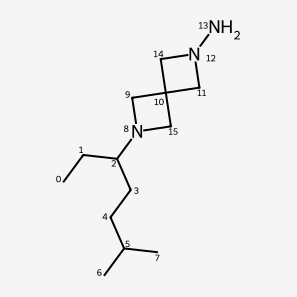 CCC(CCC(C)C)N1CC2(CN(N)C2)C1